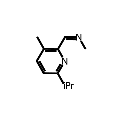 C/N=C\c1nc(C(C)C)ccc1C